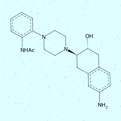 CC(=O)Nc1ccccc1N1CCN([C@@H]2Cc3cc(N)ccc3C[C@H]2O)CC1